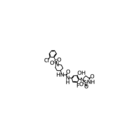 O=C1CN(c2c(O)cc(NC(=O)NC3CCN(S(=O)(=O)c4ccccc4Cl)CC3)cc2F)S(=O)(=O)N1